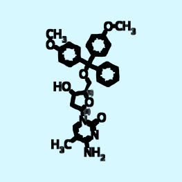 COc1ccc(C(OC[C@H]2O[C@@H](n3cc(C)c(N)nc3=O)CC2O)(c2ccccc2)c2ccc(OC)cc2)cc1